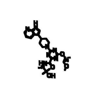 COC[C@@H](C)Oc1nc(C(=O)N[C@H](C)C(C)(C)O)nc(N2CCC(c3c[nH]c4ncccc34)CC2)n1